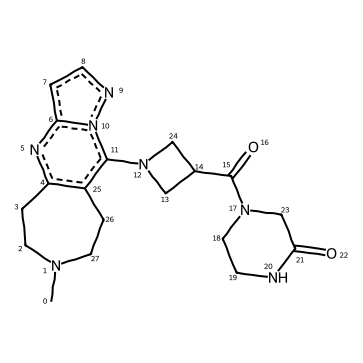 CN1CCc2nc3ccnn3c(N3CC(C(=O)N4CCNC(=O)C4)C3)c2CC1